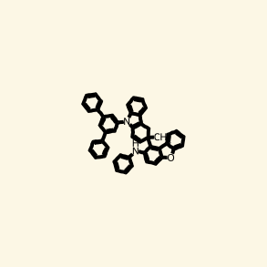 CC1(c2c(Nc3ccccc3)ccc3oc4ccccc4c23)C=Cc2c(c3ccccc3n2-c2cc(-c3ccccc3)cc(-c3ccccc3)c2)C1